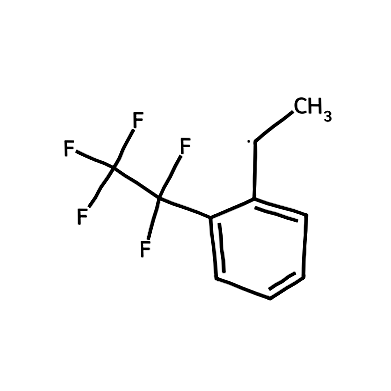 C[CH]c1ccccc1C(F)(F)C(F)(F)F